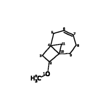 COC1CC23CC=CCCC12C3